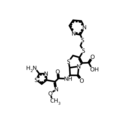 CON=C(C(=O)NC1C(=O)N2C(C(=O)O)=C(SCSc3ncccn3)CSC12)c1csc(N)n1